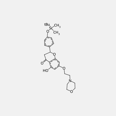 CC(C)(C)[Si](C)(C)Oc1ccc(C2CC(=O)c3c(O)cc(OCCN4CCOCC4)cc3O2)cc1